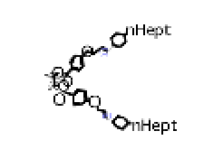 CCCCCCC[C@H]1CC[C@H](/C=C/COc2ccc(C(=O)O[C@H](C)[C@@H](C)OC(=O)c3ccc(OC/C=C/[C@H]4CC[C@H](CCCCCCC)CC4)cc3)cc2)CC1